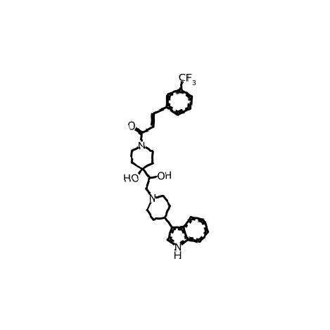 O=C(/C=C/c1cccc(C(F)(F)F)c1)N1CCC(O)(C(O)CN2CCC(c3c[nH]c4ccccc34)CC2)CC1